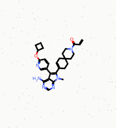 C=CC(=O)N1CCC2(CC=C(c3c(-c4ccc(OC5CCC5)nc4)c4c(N)ncnc4n3C)CC2)CC1